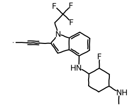 [CH2]C#Cc1cc2c(NC3CCC(NC)CC3F)cccc2n1CC(F)(F)F